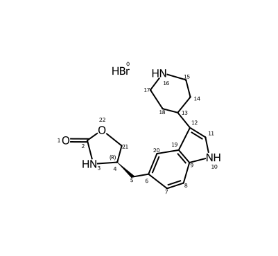 Br.O=C1N[C@H](Cc2ccc3[nH]cc(C4CCNCC4)c3c2)CO1